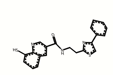 O=C(NCCc1nc(-c2ccccc2)cs1)c1cnc2c(S)cccc2c1